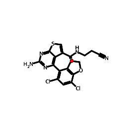 N#CCCNC(=O)c1csc2nc(N)nc(-c3c(Cl)cc(Cl)c4c3CCO4)c12